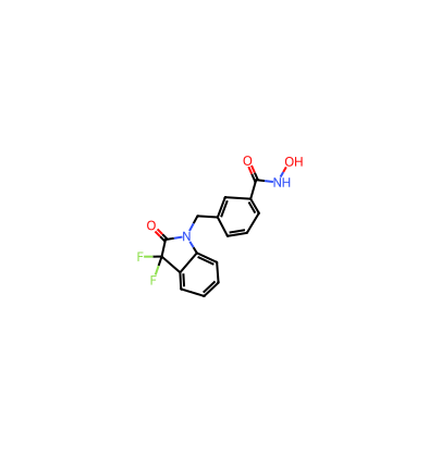 O=C(NO)c1cccc(CN2C(=O)C(F)(F)c3ccccc32)c1